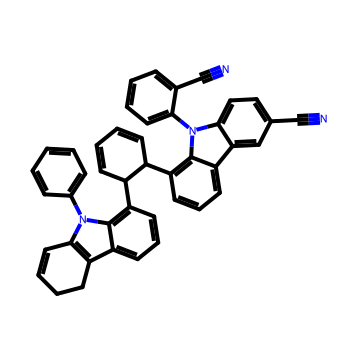 N#Cc1ccc2c(c1)c1cccc(C3C=CC=CC3c3cccc4c5c(n(-c6ccccc6)c34)C=CCC5)c1n2-c1ccccc1C#N